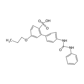 CCCOc1ccc(S(=O)(=O)O)c(-c2ccc(NC(=O)Nc3ccccc3)cc2)c1